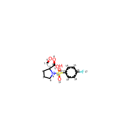 O=C[C@@]1(C(=O)O)CCCN1S(=O)(=O)c1ccc(F)cc1